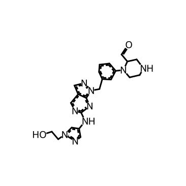 O=CC1CNCCN1c1cccc(Cn2ncc3cnc(Nc4cnn(CCO)c4)nc32)c1